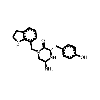 N[C@H]1CN(Cc2cccc3c2NCC3)C(=O)[C@H](Cc2ccc(O)cc2)N1